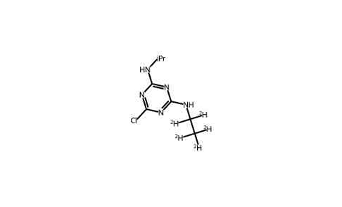 [2H]C([2H])([2H])C([2H])([2H])Nc1nc(Cl)nc(NC(C)C)n1